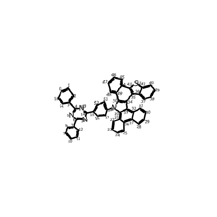 c1ccc(-c2nc(-c3ccccc3)nc(-c3ccc(-n4c5c6ccccc6c6ccccc6c5c5c6c7ccccc7sc6c6ccccc6c54)cc3)n2)cc1